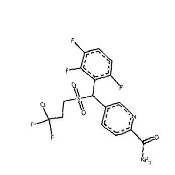 NC(=O)c1ccc(C(c2c(F)ccc(F)c2F)S(=O)(=O)CCC(F)(F)Cl)cn1